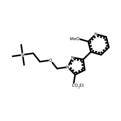 CCOC(=O)c1cc(-c2cccnc2OC)nn1COCC[Si](C)(C)C